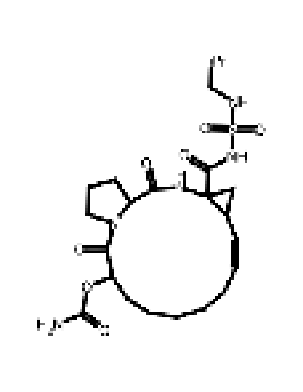 CC(C)CNS(=O)(=O)NC(=O)C12CC1C=CCCCCCC(OC(N)=O)C(=O)N1CCCC1C(=O)N2